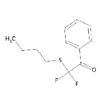 CCCCSC(F)(F)C(=O)c1ccccc1